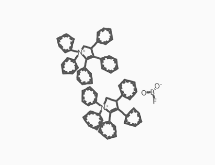 [O-]B([O-])F.c1ccc(C2=C(c3ccccc3)[N+](c3ccccc3)(c3ccccc3)CC2c2ccccc2)cc1.c1ccc(C2=C(c3ccccc3)[N+](c3ccccc3)(c3ccccc3)CC2c2ccccc2)cc1